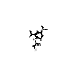 CC(C)c1cc(N(C)C)ccc1NC(=O)CCl